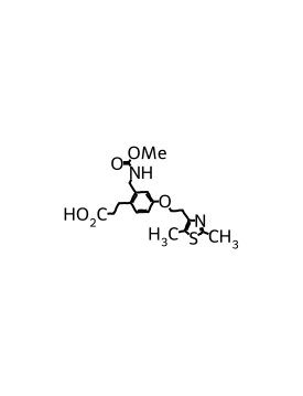 COC(=O)NCc1cc(OCCc2nc(C)sc2C)ccc1CCC(=O)O